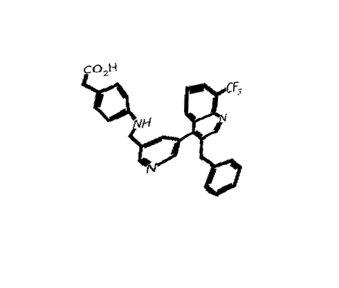 O=C(O)Cc1ccc(NCc2cncc(-c3c(Cc4ccccc4)cnc4c(C(F)(F)F)cccc34)c2)cc1